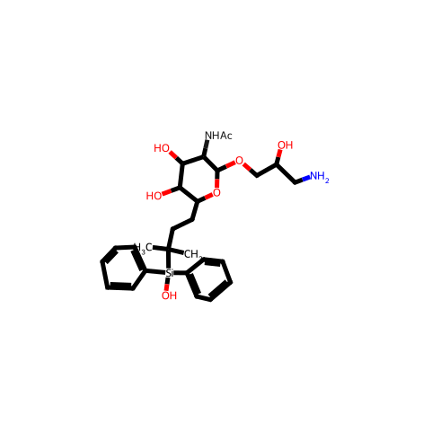 CC(=O)NC1C(OCC(O)CN)OC(CCC(C)(C)[Si](O)(c2ccccc2)c2ccccc2)C(O)C1O